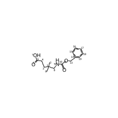 CC(C)(CCC(=O)O)CNC(=O)OCc1ccccc1